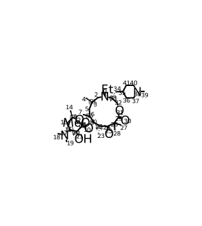 CCN1C[C@H](C)C[C@@](C)(OC)[C@H](O[C@@H]2O[C@H](C)C[C@H](N(C)C)[C@H]2O)[C@@H](C)C(=O)C(C)(C)C(=O)OC[C@H]1CC1CCN(C)CC1